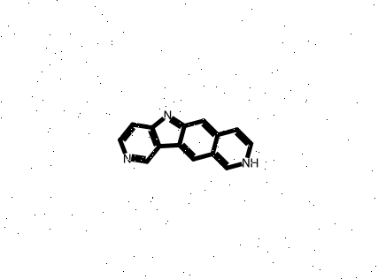 c1cc2nc3cc4cc[nH]cc4cc3c2cn1